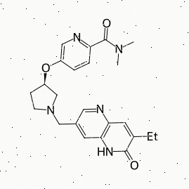 CCc1cc2ncc(CN3CC[C@@H](Oc4ccc(C(=O)N(C)C)nc4)C3)cc2[nH]c1=O